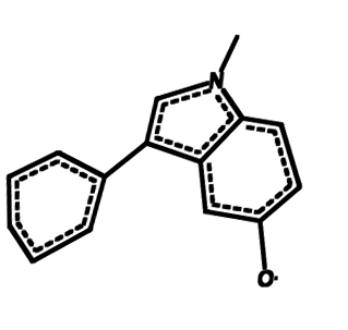 Cn1cc(-c2ccccc2)c2cc([O])ccc21